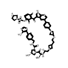 Cc1ncsc1-c1ccc(CNC(=O)[C@@H]2C[C@@H](O)CN2C(=O)[C@@H](NC(=O)CN2CC(CCOC3CN(c4ccc(-c5cnc6[nH]cc(C(=O)c7c(F)ccc(NS(=O)(=O)N8CC[C@@H](F)C8)c7F)c6c5)cc4)C3)C2)C(C)(C)C)cc1